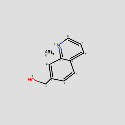 OCc1ccc2cccnc2c1.[AlH3]